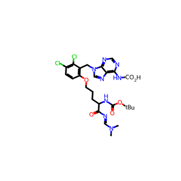 CN(C)/C=N/C(=O)C(CCCOc1ccc(Cl)c(Cl)c1Cn1cnc2c(NC(=O)O)ncnc21)NC(=O)OC(C)(C)C